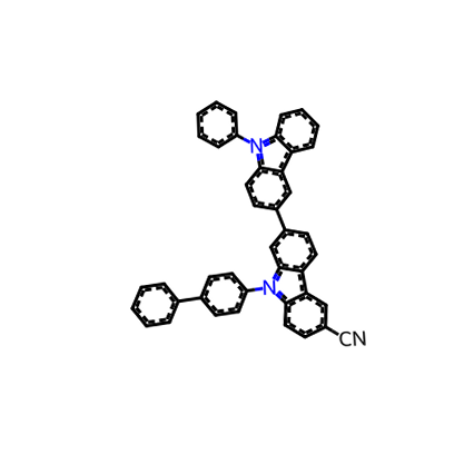 N#Cc1ccc2c(c1)c1ccc(-c3ccc4c(c3)c3ccccc3n4-c3ccccc3)cc1n2-c1ccc(-c2ccccc2)cc1